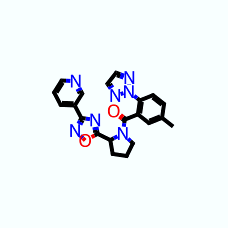 Cc1ccc(-n2nccn2)c(C(=O)N2CCCC2c2nc(-c3cccnc3)no2)c1